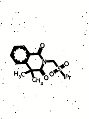 CC(C)S(=O)(=O)CN1C(=O)c2ccccc2C(C)(C)C1=O